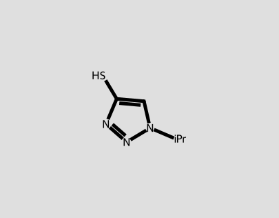 CC(C)n1cc(S)nn1